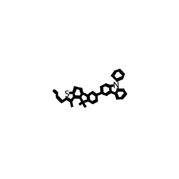 C=C/C=C\c1sc2ccc3c(c2c1C)C(C)(C)c1ccc(-c2ccc4c(c2)c2ccccc2n4-c2ccccc2)cc1-3